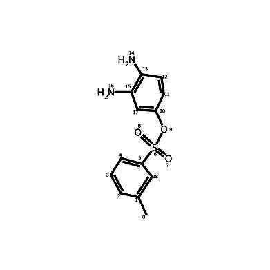 Cc1cccc(S(=O)(=O)Oc2ccc(N)c(N)c2)c1